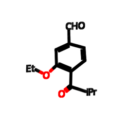 CCOc1cc(C=O)ccc1C(=O)C(C)C